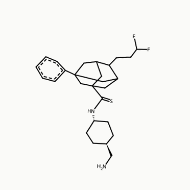 NC[C@H]1CC[C@H](NC(=S)C23CC4CC(c5ccccc5)(CC(C2)C4CCC(F)F)C3)CC1